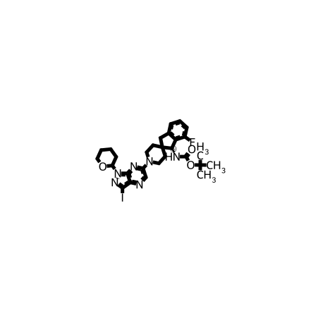 CC(C)(C)OC(=O)N[C@@H]1c2c(F)cccc2CC12CCN(c1cnc3c(I)nn(C4CCCCO4)c3n1)CC2